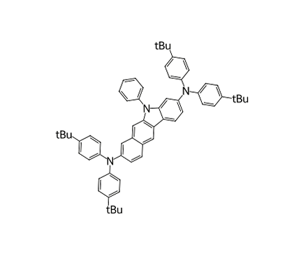 CC(C)(C)c1ccc(N(c2ccc(C(C)(C)C)cc2)c2ccc3cc4c5ccc(N(c6ccc(C(C)(C)C)cc6)c6ccc(C(C)(C)C)cc6)cc5n(-c5ccccc5)c4cc3c2)cc1